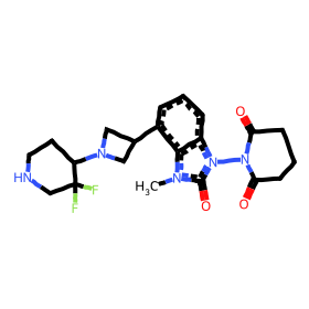 Cn1c(=O)n(N2C(=O)CCCC2=O)c2cccc(C3CN(C4CCNCC4(F)F)C3)c21